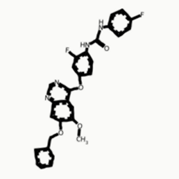 COc1cc2c(Oc3ccc(NC(=O)Nc4ccc(F)cc4)c(F)c3)ncnc2cc1OCc1ccccc1